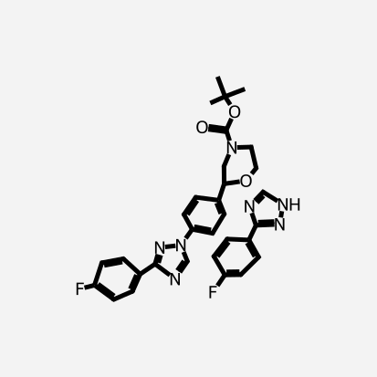 CC(C)(C)OC(=O)N1CCOC(c2ccc(-n3cnc(-c4ccc(F)cc4)n3)cc2)C1.Fc1ccc(-c2nc[nH]n2)cc1